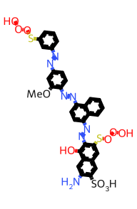 COc1cc(N=Nc2cccc(SOOO)c2)ccc1N=Nc1ccc(N=Nc2c(SOOO)cc3cc(S(=O)(=O)O)c(N)cc3c2O)c2ccccc12